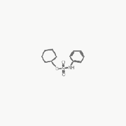 O=S(=O)(Nc1ccccc1)OC1CCCCC1